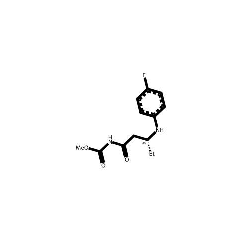 CC[C@H](CC(=O)NC(=O)OC)Nc1ccc(F)cc1